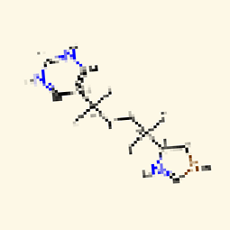 CC(C)(CCC(C)(C)c1cscn1)c1cncnc1